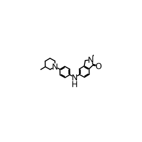 CC1CCCN(c2ccc(Nc3ccc4c(c3)CN(C)C4=O)cc2)C1